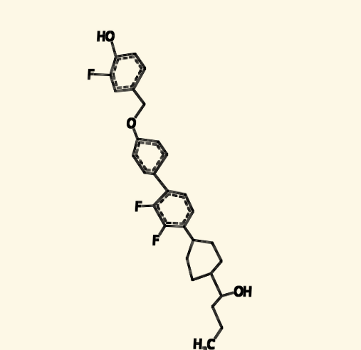 CCCC(O)C1CCC(c2ccc(-c3ccc(OCc4ccc(O)c(F)c4)cc3)c(F)c2F)CC1